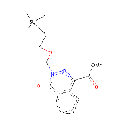 COC(=O)c1nn(COCC[Si](C)(C)C)c(=O)c2ccccc12